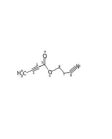 CC#CC(=O)OCCC#N